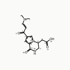 CN(C)C=CC(=O)c1cc2n(c1)C(CC(=O)O)CNC2=O